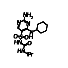 CC(C)NC(=O)NS(=O)(=O)c1cnc(N)nc1NC1CCCCC1